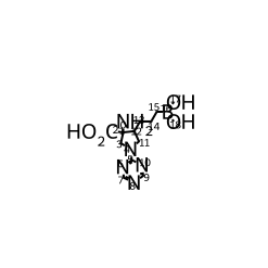 NC1(C(=O)O)CN(c2ncncn2)CC1CCCB(O)O